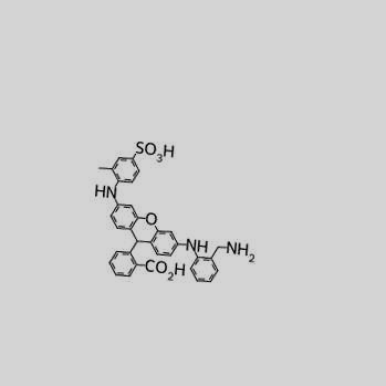 Cc1cc(S(=O)(=O)O)ccc1Nc1ccc2c(c1)Oc1cc(Nc3ccccc3CN)ccc1C2c1ccccc1C(=O)O